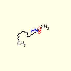 CCCCC/C=C\C/C=C\C/C=C\C/C=C\CCCCNC(=O)OCC